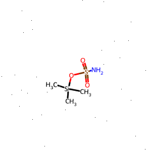 C[Si](C)(C)OS(N)(=O)=O